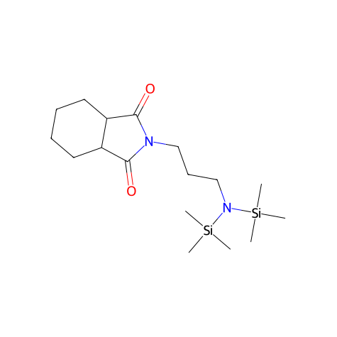 C[Si](C)(C)N(CCCN1C(=O)C2CCCCC2C1=O)[Si](C)(C)C